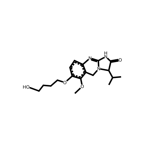 COc1c(OCCCCO)ccc2c1CN1C(=N2)NC(=O)C1C(C)C